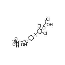 CC(C)(c1ccc(OC[C@H](O)CNS(C)(=O)=O)cc1)c1cc(Cl)c(OC[C@@H](O)CCl)c(Cl)c1